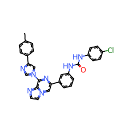 Cc1ccc(-c2cn(-c3nc(-c4cccc(NC(=O)Nc5ccc(Cl)cc5)c4)cn4ccnc34)cn2)cc1